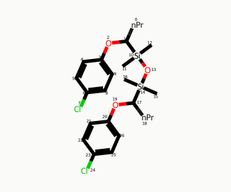 CCCC(Oc1ccc(Cl)cc1)[Si](C)(C)O[Si](C)(C)C(CCC)Oc1ccc(Cl)cc1